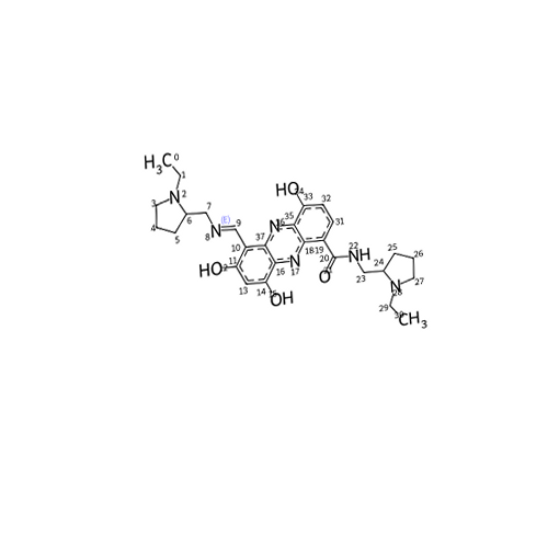 CCN1CCCC1C/N=C/c1c(O)cc(O)c2nc3c(C(=O)NCC4CCCN4CC)ccc(O)c3nc12